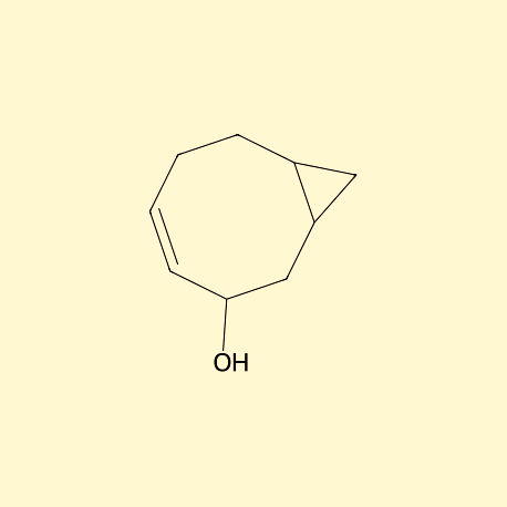 OC1/C=C\CCC2CC2C1